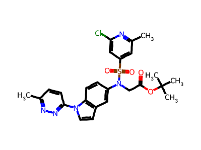 Cc1ccc(-n2ccc3cc(N(CC(=O)OC(C)(C)C)S(=O)(=O)c4cc(C)nc(Cl)c4)ccc32)nn1